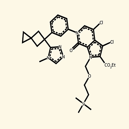 CCOC(=O)c1c(Cl)c2c(Cl)cn(-c3cccc(C4(c5nncn5C)CC5(CC5)C4)c3)c(=O)c2n1COCC[Si](C)(C)C